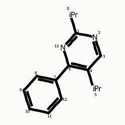 CC(C)c1ncc(C(C)C)c(-c2ccccc2)n1